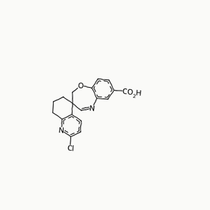 O=C(O)c1ccc2c(c1)N=CC1(CCCc3nc(Cl)ccc31)CO2